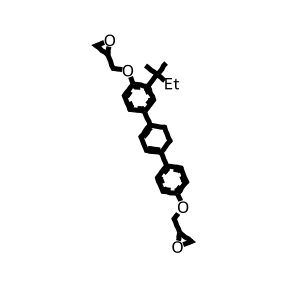 CCC(C)(C)c1cc(C2=CC=C(c3ccc(OCC4CO4)cc3)CC2)ccc1OCC1CO1